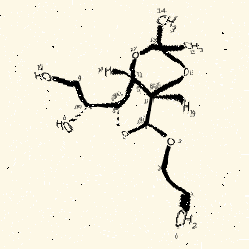 C=CCO[C@H]1O[C@H]([C@H](O)CO)[C@@H]2OC(C)(C)O[C@H]12